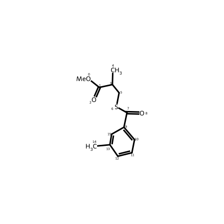 COC(=O)C(C)CSC(=O)c1cccc(C)c1